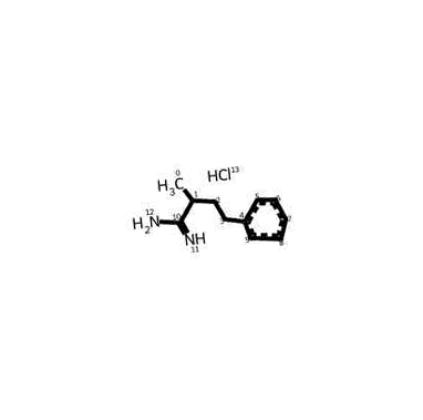 CC(CCc1ccccc1)C(=N)N.Cl